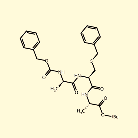 C[C@H](NC(=O)[C@H](CSCc1ccccc1)NC(=O)[C@@H](C)NC(=O)OCc1ccccc1)C(=O)OC(C)(C)C